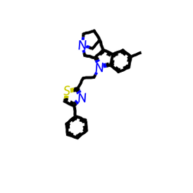 Cc1ccc2c(c1)c1c(n2CCc2nc(-c3ccccc3)cs2)CN2CCC1C2